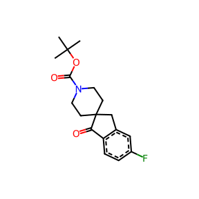 CC(C)(C)OC(=O)N1CCC2(CC1)Cc1cc(F)ccc1C2=O